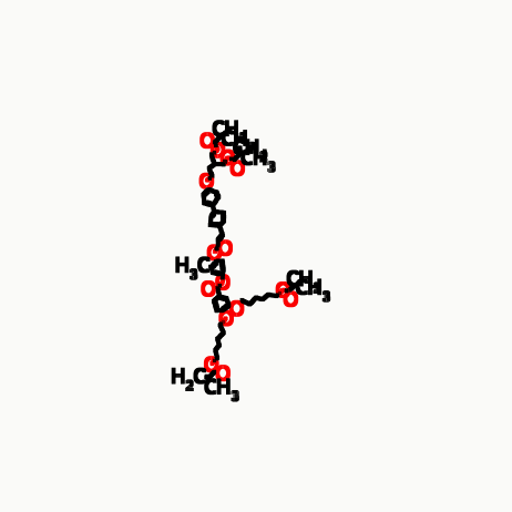 C=C(C)C(=O)OCCCCCCOc1ccc(C(=O)Oc2ccc(OC(=O)/C=C/c3ccc(-c4ccc(OCCC(COC(=O)C(=C)C)COC(=O)C(=C)C)cc4)cc3)c(C)c2)cc1OCCCCCCOC(=O)C(=C)C